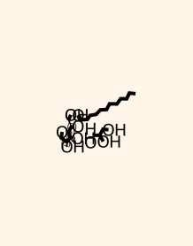 CCCCCCCCCCCC(=O)O[C@H](CO)[C@H]1OC[C@H](O)[C@H]1O.OCC(O)CO